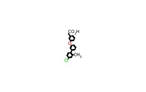 Cc1cc(Cl)ccc1-c1cccc(Oc2cccc(CC(=O)O)c2)c1